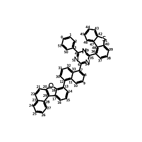 c1ccc(-c2nc(-c3cccc4c(-c5cccc6c5oc5ccc7ccccc7c56)cccc34)nc(-c3cccc4sc5ccccc5c34)n2)cc1